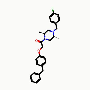 C[C@@H]1CN(C(=O)COc2ccc(Cc3ccccc3)cc2)[C@@H](C)CN1Cc1ccc(F)cc1